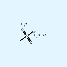 CS(=O)(=O)O.O.O.[Ce]